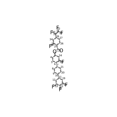 O=C(Oc1ccc(-c2ccc(-c3cc(F)c(F)c(F)c3)cc2)c(F)c1)c1ccc(C(F)=C(F)F)cc1F